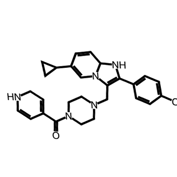 O=C(C1=CCNC=C1)N1CCN(CC2=C(c3ccc(Cl)cc3)NC3C=CC(C4CC4)=CN23)CC1